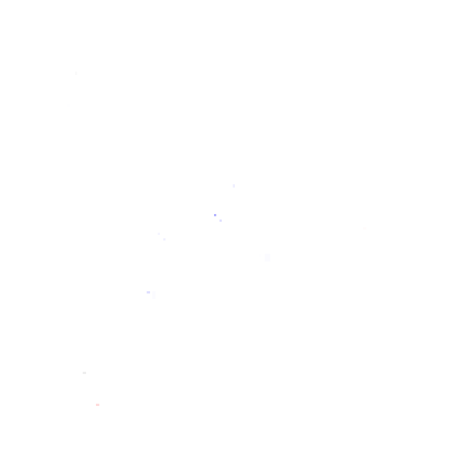 CC(=O)N1CCN(c2cc(NCc3cccc(S(C)(=O)=O)c3)n3nc(C)c(-c4ccc5c(c4)CC(=O)N5C)c3n2)CC1